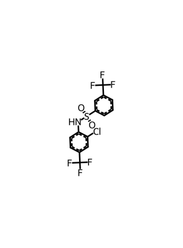 O=S(=O)(Nc1ccc(C(F)(F)F)cc1Cl)c1cccc(C(F)(F)F)c1